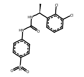 C[C@H](NC(=O)Nc1ccc([SH](=O)=O)cc1)c1cccc(Cl)c1Cl